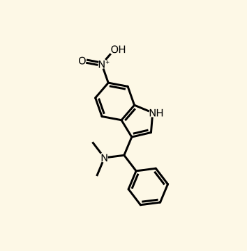 CN(C)C(c1ccccc1)c1c[nH]c2cc([N+](=O)O)ccc12